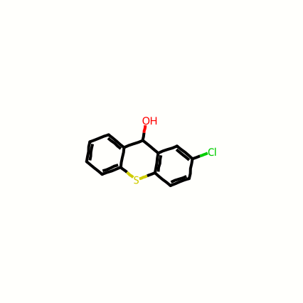 OC1c2ccccc2Sc2ccc(Cl)cc21